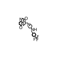 O=c1ccc2ncc(=O)n3c2n1CC3CN1CCC(NCc2ccc(C(F)(F)F)cc2)CC1